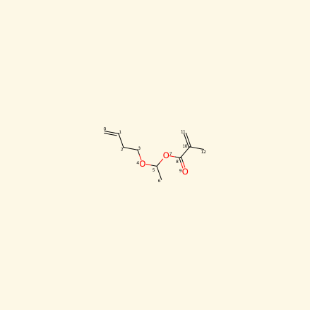 C=CCCOC(C)OC(=O)C(=C)C